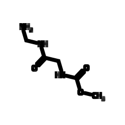 COC(=O)NCC(=O)NCN